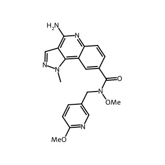 COc1ccc(CN(OC)C(=O)c2ccc3nc(N)c4cnn(C)c4c3c2)cn1